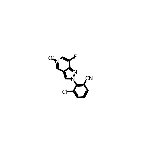 N#Cc1cccc(Cl)c1-n1cc2c[n+]([O-])cc(F)c2n1